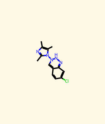 Cc1nc(C)n(N2C=c3ccc(Cl)cc3=NN2)c1C